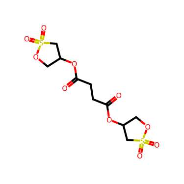 O=C(CCC(=O)OC1COS(=O)(=O)C1)OC1COS(=O)(=O)C1